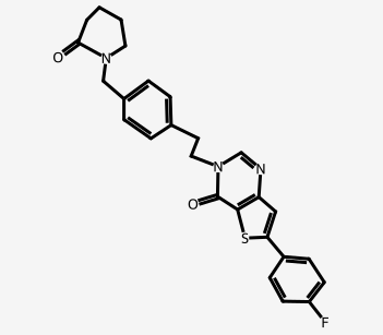 O=C1CCCCN1Cc1ccc(CCn2cnc3cc(-c4ccc(F)cc4)sc3c2=O)cc1